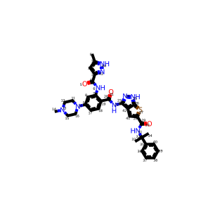 Cc1cc(C(=O)Nc2cc(N3CCN(C)CC3)ccc2C(=O)Nc2n[nH]c3sc(C(=O)NC(C)(C)c4ccccc4)cc23)n[nH]1